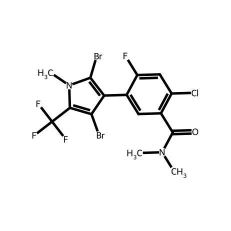 CN(C)C(=O)c1cc(-c2c(Br)c(C(F)(F)F)n(C)c2Br)c(F)cc1Cl